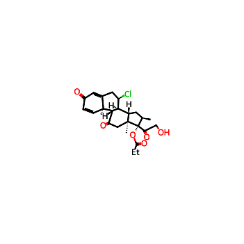 CCC(=O)O[C@@]1(C(=O)CO)[C@H](C)C[C@H]2[C@@H]3[C@H](Cl)CC4=CC(=O)C=C[C@]4(C)[C@H]3C(=O)C[C@@]21C